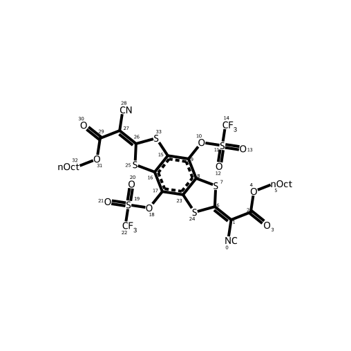 [C-]#[N+]C(C(=O)OCCCCCCCC)=C1Sc2c(OS(=O)(=O)C(F)(F)F)c3c(c(OS(=O)(=O)C(F)(F)F)c2S1)SC(=C(C#N)C(=O)OCCCCCCCC)S3